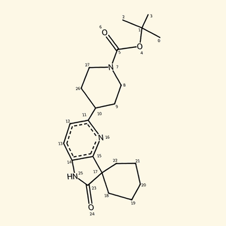 CC(C)(C)OC(=O)N1CCC(c2ccc3c(n2)C2(CCCCC2)C(=O)N3)CC1